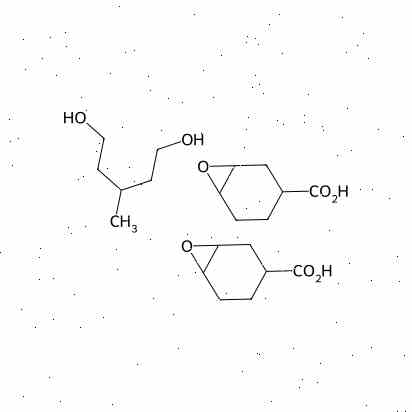 CC(CCO)CCO.O=C(O)C1CCC2OC2C1.O=C(O)C1CCC2OC2C1